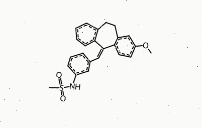 COc1ccc2c(c1)CCc1ccccc1C2=Cc1cccc(NS(C)(=O)=O)c1